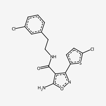 Nc1onc(-c2ccc(Cl)s2)c1C(=O)NCCc1cccc(Cl)c1